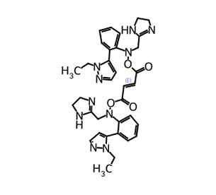 CCn1nccc1-c1ccccc1N(CC1=NCCN1)OC(=O)/C=C/C(=O)ON(CC1=NCCN1)c1ccccc1-c1ccnn1CC